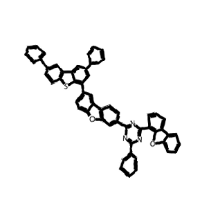 c1ccc(-c2ccc3sc4c(-c5ccc6oc7cc(-c8nc(-c9ccccc9)nc(-c9cccc%10c9oc9ccccc9%10)n8)ccc7c6c5)cc(-c5ccccc5)cc4c3c2)cc1